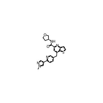 Cn1cc(-c2ccc(Cc3cc(C(=O)N[C@H]4CCOC4)nc4ccsc34)cn2)cn1